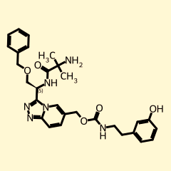 CC(C)(N)C(=O)N[C@H](COCc1ccccc1)c1nnc2ccc(COC(=O)NCCc3cccc(O)c3)cn12